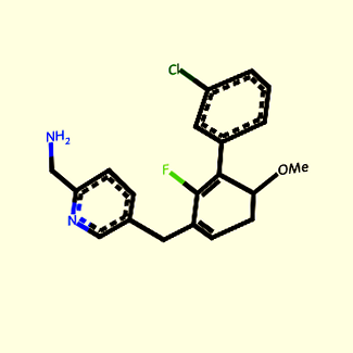 COC1CC=C(Cc2ccc(CN)nc2)C(F)=C1c1cccc(Cl)c1